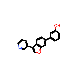 Oc1cccc(-c2ccc3c(-c4cccnc4)coc3c2)c1